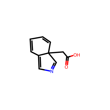 O=C(O)CC12C=CC=CC1=CN=C2